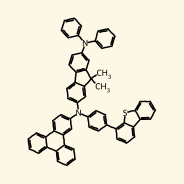 CC1(C)c2cc(N(c3ccccc3)c3ccccc3)ccc2-c2ccc(N(c3ccc(-c4cccc5c4sc4ccccc45)cc3)c3ccc4c5ccccc5c5ccccc5c4c3)cc21